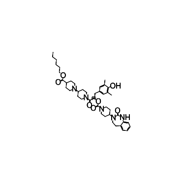 CCCCCCOC(=O)C1CCN(C2CCN(C(=O)[C@@H](Cc3cc(C)c(O)c(C)c3)OC(=O)N3CCC(N4CCc5ccccc5NC4=O)CC3)CC2)CC1